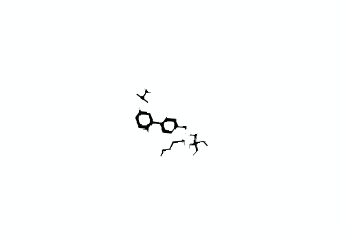 CCCCC1=NC(CC)(CC)C(=O)N1Cc1ccc(-c2cc(OC(C)(C)C(=O)O)ccc2F)cc1